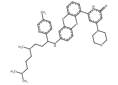 Cc1ccc(C(CCN(C)CCCN(C)C)Nc2ccc3c(c2)Sc2cccc(-c4cc(N5CCOCC5)cc(=O)[nH]4)c2S3)nc1